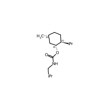 CC(C)CNC(=O)O[C@@H]1C[C@H](C)CC[C@H]1C(C)C